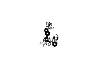 CC(C)(C)OC(=O)NC1CCc2cc(-c3cnc(N)c(C(=O)Nc4ccccc4N4CCOCC4)n3)ccc21